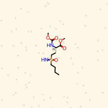 CCCCS(=N)(=O)CC[C@H](NC(=O)OC)C(=O)OC